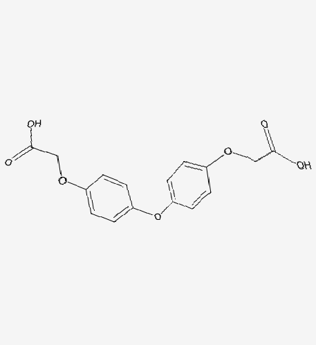 O=C(O)COc1ccc(Oc2ccc(OCC(=O)O)cc2)cc1